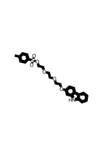 Cc1ccc(S(=O)(=O)OCCOCCOCCOc2ccc3c(c2)[nH]c2ccccc23)cc1